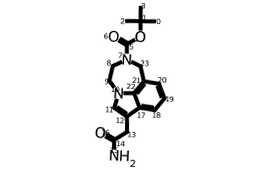 CC(C)(C)OC(=O)N1CCn2cc(CC(N)=O)c3cccc(c32)C1